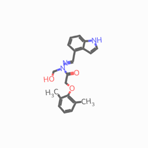 Cc1cccc(C)c1OCC(=O)N(CO)/N=C/c1cccc2[nH]ccc12